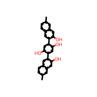 Cc1ccc2cc(-c3cc(O)c(-c4cc5ccc(C)cc5cc4O)cc3O)c(O)cc2c1